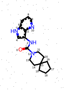 O=C(Nc1c[nH]c2cccnc12)N1CCC2(CCCC2)CC1